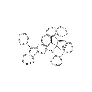 C1=CCC(c2ccccc2-c2ccccc2)(N(c2ccc3c(c2)c2ccccc2n3-c2ccccc2)c2ccccc2-c2ccccc2)C(c2ccccc2)=C1